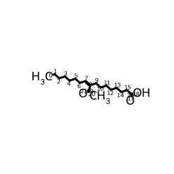 CCCCCCC/C=C(/CCCCCCCC(=O)O)C(C)=O